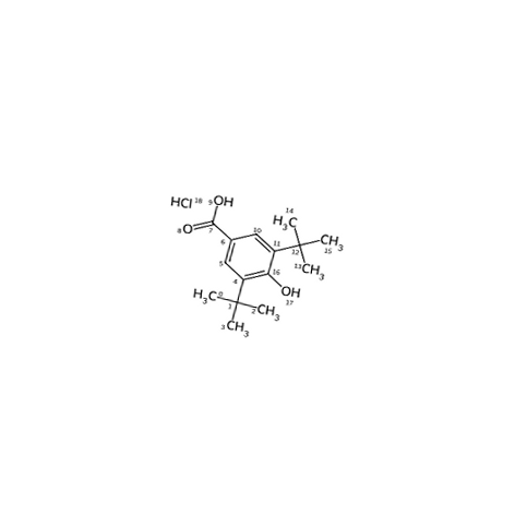 CC(C)(C)c1cc(C(=O)O)cc(C(C)(C)C)c1O.Cl